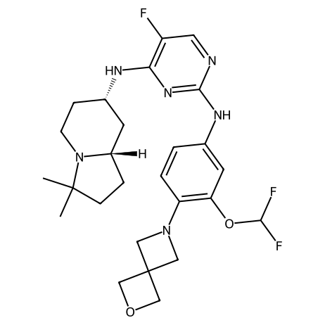 CC1(C)CC[C@H]2C[C@@H](Nc3nc(Nc4ccc(N5CC6(COC6)C5)c(OC(F)F)c4)ncc3F)CCN21